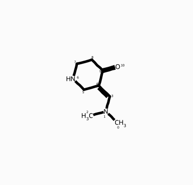 CN(C)C=C1CNCCC1=O